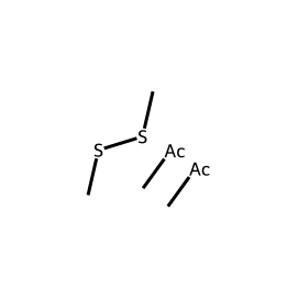 CC(C)=O.CC(C)=O.CSSC